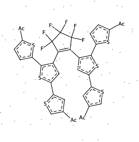 CC(=O)c1csc(-c2cc(C3=C(c4cc(-c5cc(C(C)=O)cs5)sc4-c4ccc(C(C)=O)s4)C(F)(F)C(F)(F)C3(F)F)c(-c3ccc(C(C)=O)s3)s2)c1